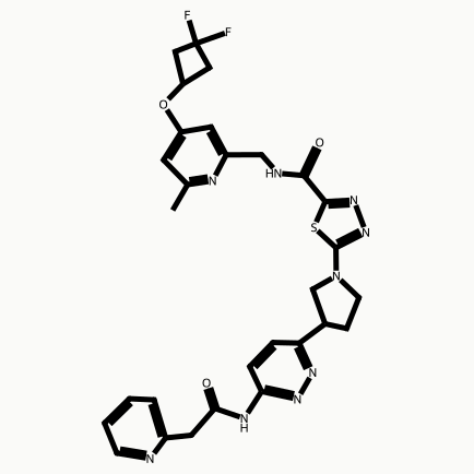 Cc1cc(OC2CC(F)(F)C2)cc(CNC(=O)c2nnc(N3CCC(c4ccc(NC(=O)Cc5ccccn5)nn4)C3)s2)n1